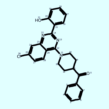 O=C(c1ccccc1)C1CCN(c2nc(-c3ccccc3O)nc3cc(Cl)ccc23)CC1